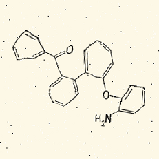 Nc1ccccc1Oc1ccccc1-c1ccccc1C(=O)c1ccccc1